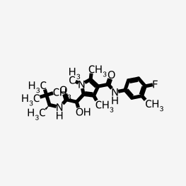 Cc1cc(NC(=O)c2c(C)c(C(O)C(=O)N[C@H](C)C(C)(C)C)n(C)c2C)ccc1F